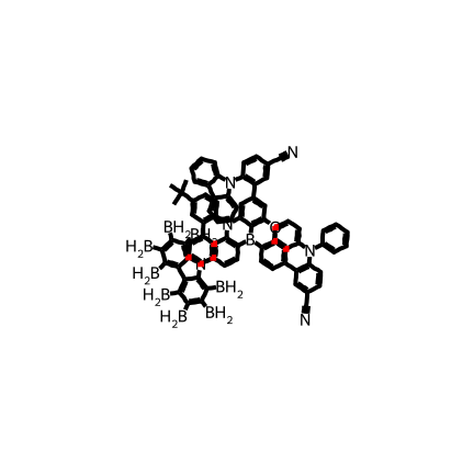 Bc1c(B)c(B)c2c(c1B)c1c(B)c(B)c(B)c(B)c1n2-c1ccc2c(c1)N(c1ccc(C(C)(C)C)cc1-c1ccccc1)c1cc(-c3cc(C#N)ccc3-n3c4ccccc4c4ccccc43)cc3c1B2c1ccc(-c2cc(C#N)ccc2N(c2ccccc2)c2ccccc2)cc1O3